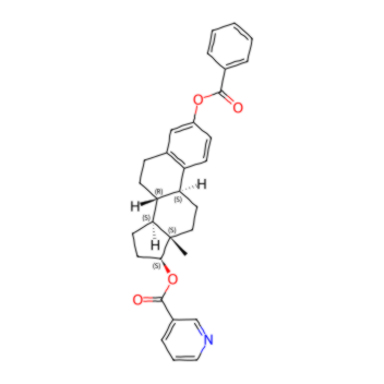 C[C@]12CC[C@@H]3c4ccc(OC(=O)c5ccccc5)cc4CC[C@H]3[C@@H]1CC[C@@H]2OC(=O)c1cccnc1